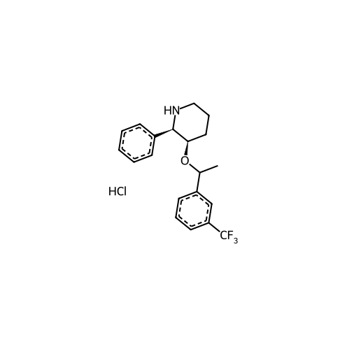 CC(O[C@@H]1CCCN[C@@H]1c1ccccc1)c1cccc(C(F)(F)F)c1.Cl